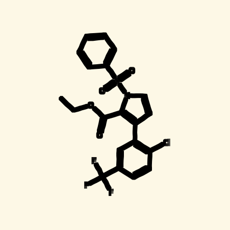 CCOC(=O)c1c(-c2cc(C(F)(F)F)ccc2Cl)ccn1S(=O)(=O)c1ccccc1